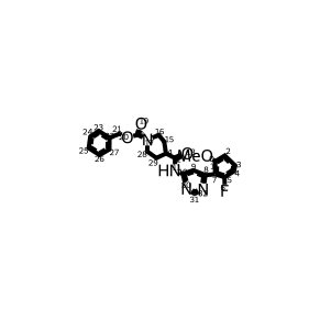 COc1cccc(F)c1-c1cc(NC(=O)C2CCN(C(=O)OCc3ccccc3)CC2)ncn1